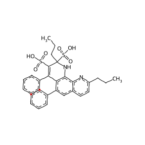 CCCc1ccc2cc(-c3ccccc3)c3c(c2n1)NC(CCC)(S(=O)(=O)O)C(S(=O)(=O)O)=C3c1ccccc1